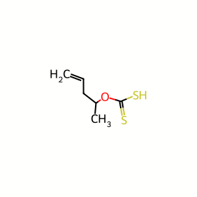 C=CCC(C)OC(=S)S